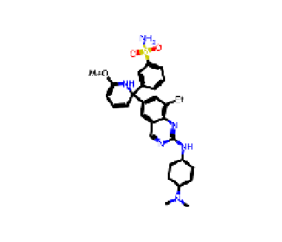 CCc1cc(C2(c3cccc(S(N)(=O)=O)c3)C=CC=C(OC)N2)cc2cnc(NC3CCC(N(C)C)CC3)nc12